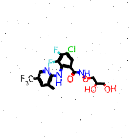 Cc1cc(C(F)(F)F)cnc1Nc1c(C(=O)NOCC(O)CO)cc(Cl)c(F)c1F